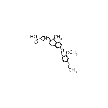 CCCc1ccc(COc2ccc3c(c2)CC[C@@H](CN2CC(C(=O)O)C2)[C@H]3C)c(OC)c1